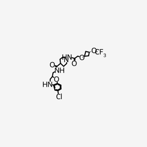 O=C(CO[C@H]1C[C@@H](OC(F)(F)F)C1)NN1CCC(C(=O)NCC2CNc3cc(Cl)ccc3O2)CC1